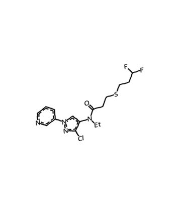 CCN(C(=O)CCSCCC(F)F)c1cn(-c2cccnc2)nc1Cl